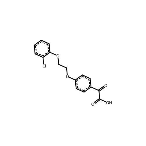 O=C(O)C(=O)c1ccc(OCCOc2ccccc2Cl)cc1